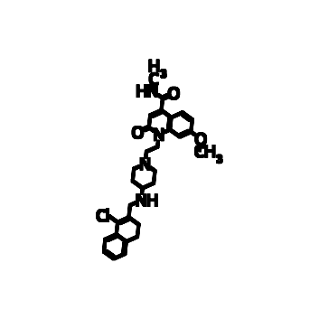 CNC(=O)c1cc(=O)n(CCN2CCC(NCC3=C(Cl)c4ccccc4CC3)CC2)c2cc(OC)ccc12